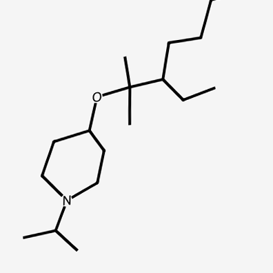 CCCCC(CC)C(C)(C)OC1CCN(C(C)C)CC1